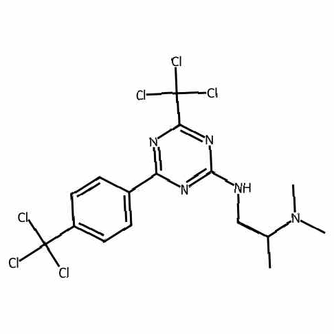 CC(CNc1nc(-c2ccc(C(Cl)(Cl)Cl)cc2)nc(C(Cl)(Cl)Cl)n1)N(C)C